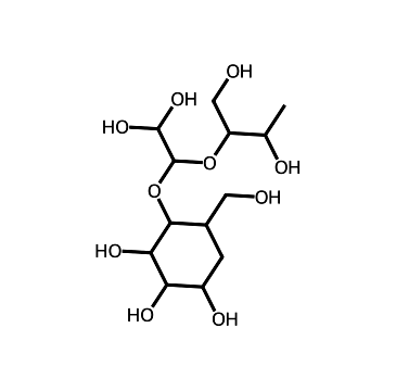 CC(O)C(CO)OC(OC1C(CO)CC(O)C(O)C1O)C(O)O